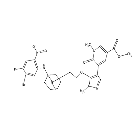 COC(=O)c1cc(-c2cnn(C)c2OCCN2CC3CCC(Nc4cc(Br)c(F)cc4[N+](=O)[O-])(CC3)C2)c(=O)n(C)c1